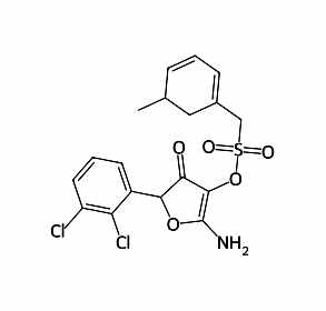 CC1C=CC=C(CS(=O)(=O)OC2=C(N)OC(c3cccc(Cl)c3Cl)C2=O)C1